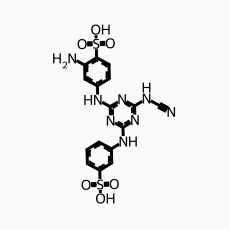 N#CNc1nc(Nc2cccc(S(=O)(=O)O)c2)nc(Nc2ccc(S(=O)(=O)O)c(N)c2)n1